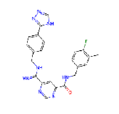 Cc1cc(CNC(=O)c2cc(C(=N)NCc3ccc(-c4nnc[nH]4)cc3)ncn2)ccc1F